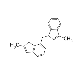 CC1=Cc2cccc(CC3C=C(C)c4ccccc43)c2C1